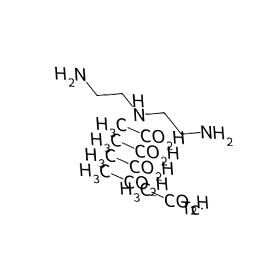 CC(=O)O.CC(=O)O.CC(=O)O.CC(=O)O.CC(=O)O.NCCNCCN.[Tc]